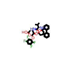 CC(C)[C@H](NC1(c2ccccc2-c2ccccc2)CCCCO1)C(=O)N[C@@H](CC(=O)O)C(=O)COc1c(F)c(F)cc(F)c1F